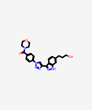 O=C(c1ccc(-n2cc(-c3n[nH]c4cc(CCCO)ccc34)nn2)cc1)N1CCOCC1